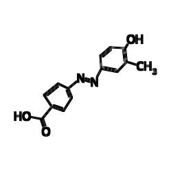 Cc1cc(N=Nc2ccc(C(=O)O)cc2)ccc1O